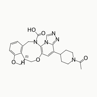 CC(=O)N1CCC(c2cc3c(n4cnnc24)N(C(=O)O)Cc2cccc4c2[C@@H](CO4)CO3)CC1